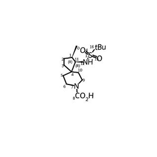 C[C@@H]1CCC2(CCN(C(=O)O)CC2)[C@@H]1NS(=O)(=O)C(C)(C)C